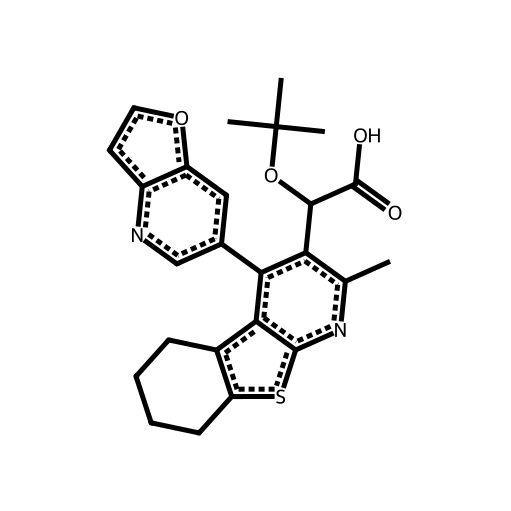 Cc1nc2sc3c(c2c(-c2cnc4ccoc4c2)c1C(OC(C)(C)C)C(=O)O)CCCC3